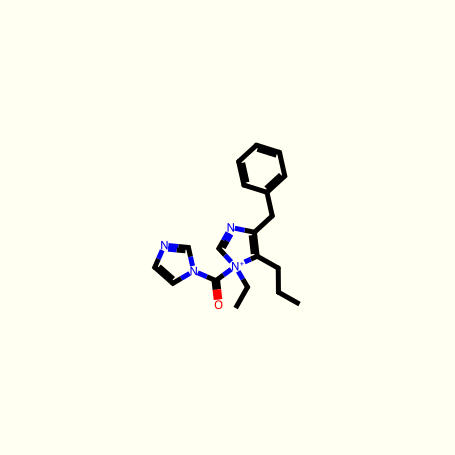 CCCC1=C(Cc2ccccc2)N=C[N+]1(CC)C(=O)n1ccnc1